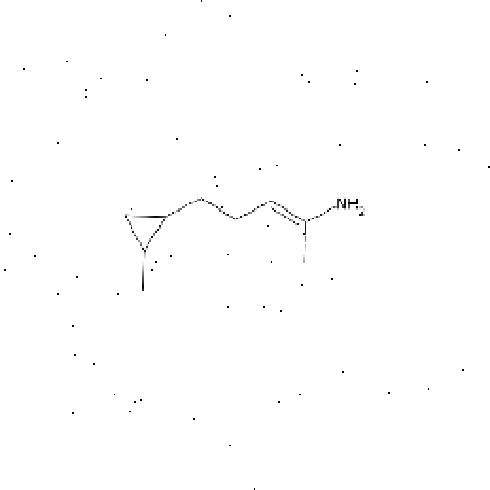 C/C(N)=C\CCC1CC1C